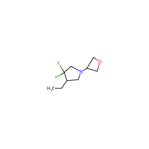 CCC1CN(C2COC2)CC1(F)F